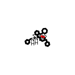 S=C(NCc1ccccc1)NC(c1ccccc1C(NC(=S)NCc1ccccc1)C1CCCCCC1)C1CCCCCC1